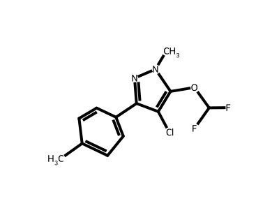 Cc1ccc(-c2nn(C)c(OC(F)F)c2Cl)cc1